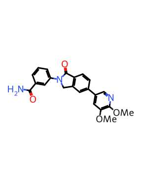 COc1cc(-c2ccc3c(c2)CN(c2cccc(C(N)=O)c2)C3=O)cnc1OC